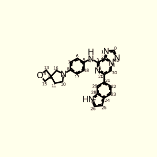 c1nc2c(Nc3ccc(N4CCC5(COC5)C4)cc3)nc(-c3ccc4cc[nH]c4c3)cn2n1